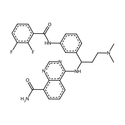 CN(C)CCC(Nc1ncnc2c(C(N)=O)cccc12)c1cccc(NC(=O)c2cccc(F)c2F)c1